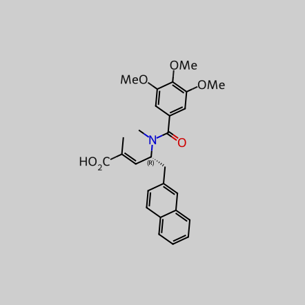 COc1cc(C(=O)N(C)[C@@H](C=C(C)C(=O)O)Cc2ccc3ccccc3c2)cc(OC)c1OC